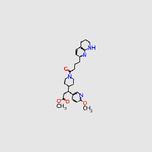 COC(=O)CC(c1ccc(OC)nc1)C1CCN(C(=O)CCCc2ccc3c(n2)NCCC3)CC1